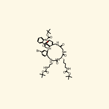 CN1CC(=O)NCc2cccc(Cl)c2[SH](Cc2cn(C(=O)OC(C)(C)C)c3ccccc23)c2cc(Br)ccc2CN[C@@H](CCCNC(=O)OC(C)(C)C)C(=O)N[C@@H](CCCCNC(=O)OC(C)(C)C)C1=O